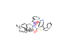 CNC(=O)C(Cc1ccc(C)c(OC)c1)NC(=O)CSc1ccc2ccccc2c1-c1cncc(OCc2ccccc2)c1